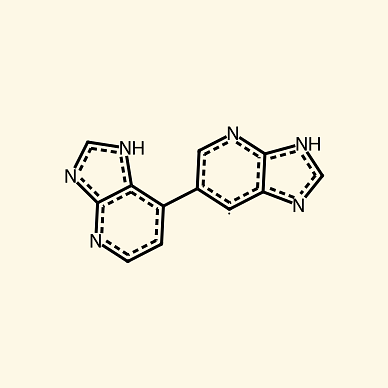 [c]1c(-c2ccnc3nc[nH]c23)cnc2[nH]cnc12